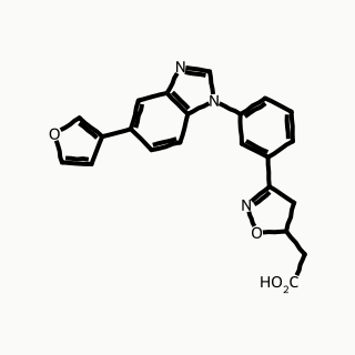 O=C(O)CC1CC(c2cccc(-n3cnc4cc(-c5ccoc5)ccc43)c2)=NO1